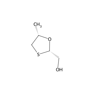 C[C@H]1CS[C@@H](CO)O1